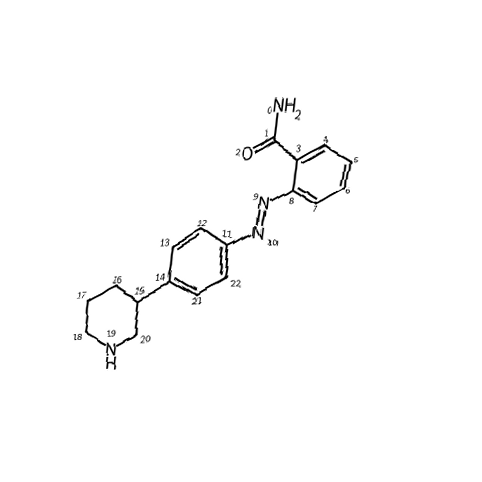 NC(=O)c1ccccc1N=Nc1ccc(C2CCCNC2)cc1